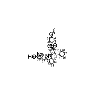 CCOc1ccc(S(=O)(=O)N2C[C@@H](Cc3ccccc3)[C@@H](n3nc(Cc4cc(O)no4)c4ccccc43)C2)cc1